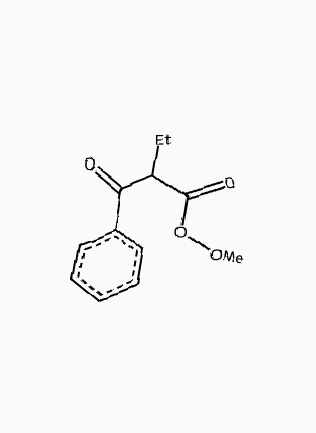 CCC(C(=O)OOC)C(=O)c1ccccc1